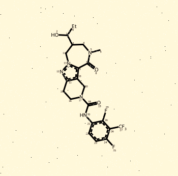 CCC(O)C1CN(C)C(=O)c2c3c(nn2C1)CCN(C(=O)Nc1ccc(F)c(C(F)(F)F)c1F)C3